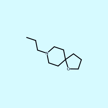 CCCN1CCC2(CCCO2)CC1